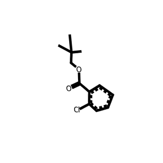 CC(C)(C)COC(=O)c1ccccc1Cl